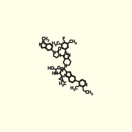 CCc1nccc(-c2ccc3c(c2)cc(C(=O)N2CCc4nn(-c5cc(C)c(F)c(C)c5)c(N5CCN(c6ccc7c(cnn7C)c6)C5=O)c4C2)n3[C@@]2(C3=NOC(O)N3)C[C@@H]2C)c1C